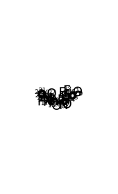 COc1ccc(-c2onc(C(=O)Nc3c(C)n(C)n(-c4ccccc4F)c3=O)c2C)c(C(F)(F)F)c1